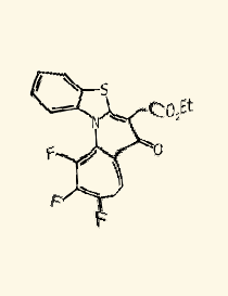 CCOC(=O)c1c(=O)c2cc(F)c(F)c(F)c2n2c1sc1ccccc12